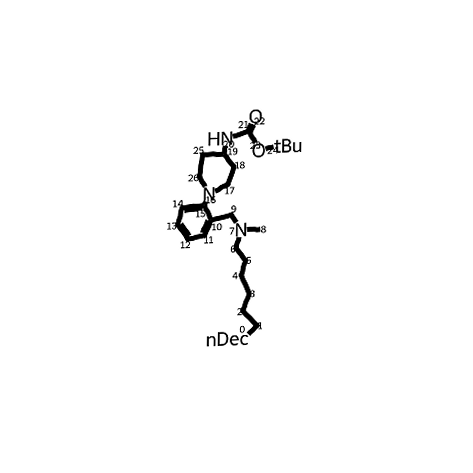 CCCCCCCCCCCCCCCCN(C)Cc1ccccc1N1CCC(NC(=O)OC(C)(C)C)CC1